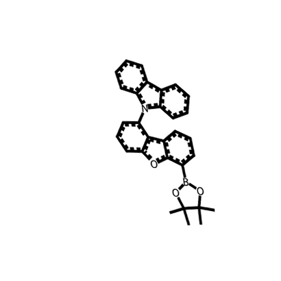 CC1(C)OB(c2cccc3c2oc2cccc(-n4c5ccccc5c5ccccc54)c23)OC1(C)C